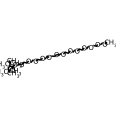 COCCOCCOCCOCCOCCOCCOCCOCCOCCOCCOCCOCCOCCOC(=O)C(CC(C)(C)C)C(C)(C)C